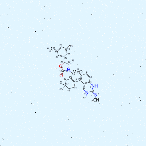 COc1ccc(N/C(=N/C#N)N(C)C)cc1C1=C(CN2C(=O)O[C@H](c3cc(C)cc(C(F)(F)F)c3)[C@@H]2C)CC(C)(C)CC1